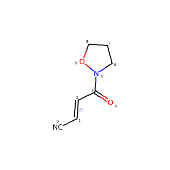 N#C/C=C/C(=O)N1CCCO1